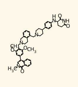 COc1cc(-c2cn(C)c(=O)c3ccccc23)cc(OC)c1CN1CCc2c(CN3CCC(c4ccc(NC5CCC(=O)NC5=O)cc4)CC3)cccc2C1